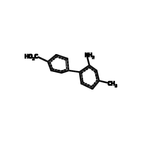 Cc1ccc(-c2ccc(C(=O)O)cc2)c(N)c1